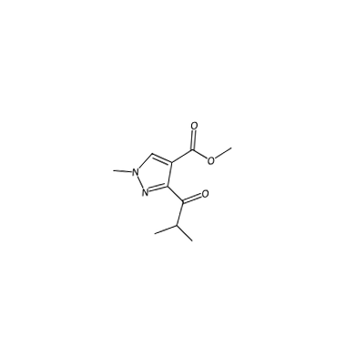 COC(=O)c1cn(C)nc1C(=O)C(C)C